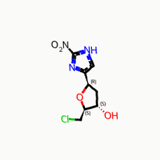 O=[N+]([O-])c1nc([C@H]2C[C@H](O)[C@@H](CCl)O2)c[nH]1